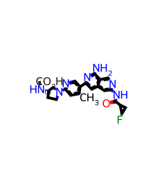 Cc1cc(N2CC[C@H](NC(=O)O)C2)ncc1-c1cc2cc(NC(=O)C3CC3F)ncc2c(N)n1